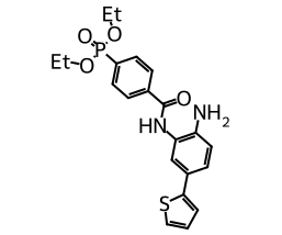 CCOP(=O)(OCC)c1ccc(C(=O)Nc2cc(-c3cccs3)ccc2N)cc1